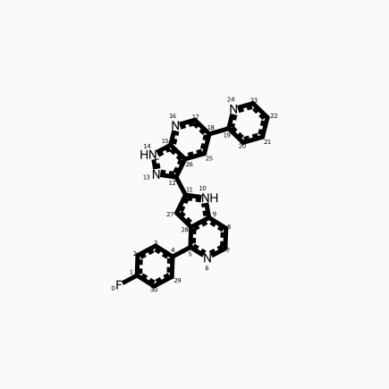 Fc1ccc(-c2nccc3[nH]c(-c4n[nH]c5ncc(-c6ccccn6)cc45)cc23)cc1